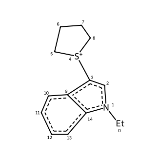 CCn1cc([S+]2CCCC2)c2ccccc21